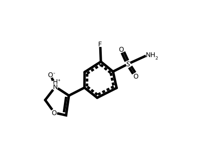 NS(=O)(=O)c1ccc(C2=COC[NH+]2[O-])cc1F